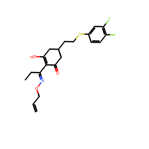 C=CCON=C(CC)C1=C(O)CC(CCSc2ccc(F)c(F)c2)CC1=O